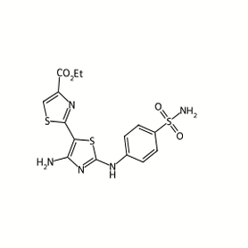 CCOC(=O)c1csc(-c2sc(Nc3ccc(S(N)(=O)=O)cc3)nc2N)n1